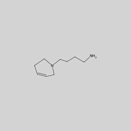 NCCCCN1CC=CCC1